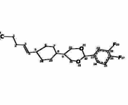 CCCC=CC1CCC(C2COC(c3ccc(F)c(F)c3)OC2)CC1